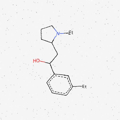 CCc1cccc(C(O)CC2CCCN2CC)c1